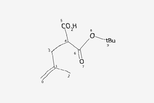 C=C(C)CC(C(=O)O)C(=O)OC(C)(C)C